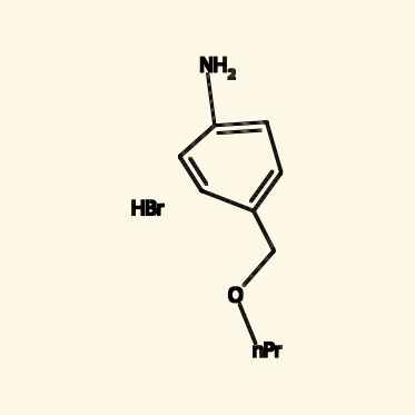 Br.CCCOCc1ccc(N)cc1